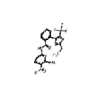 CCc1nc(C(F)(F)F)c(-c2ccccc2C(=O)Nc2ccc([N+](=O)[O-])c(N)n2)s1